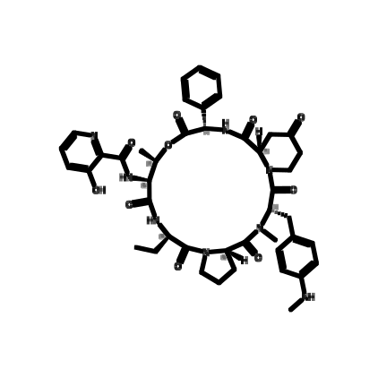 CC[C@H]1NC(=O)[C@@H](NC(=O)c2ncccc2O)[C@@H](C)OC(=O)[C@H](c2ccccc2)NC(=O)[C@@H]2CC(=O)CCN2C(=O)[C@H](Cc2ccc(NC)cc2)N(C)C(=O)[C@@H]2CCCN2C1=O